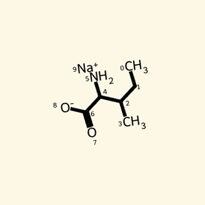 CCC(C)C(N)C(=O)[O-].[Na+]